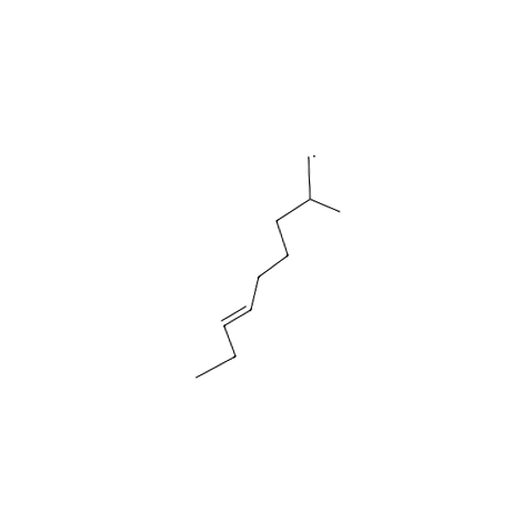 [CH2]C(C)CCC/C=C/CC